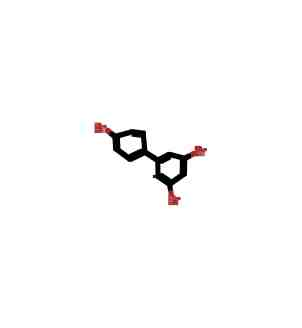 Brc1[c]c(-c2ccc(Br)cc2)cc(Br)c1